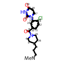 CNCCCC1CCN(C(=O)c2ccc(Cl)c(-n3ccc(=O)[nH]c3=O)c2)CC1